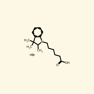 Br.CC1N(CCCCCC(=O)O)c2ccccc2C1(C)C